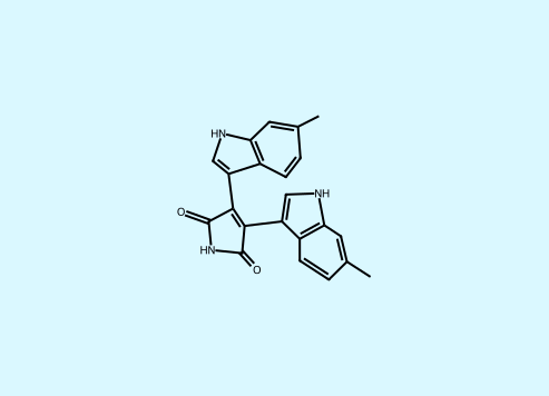 Cc1ccc2c(C3=C(c4c[nH]c5cc(C)ccc45)C(=O)NC3=O)c[nH]c2c1